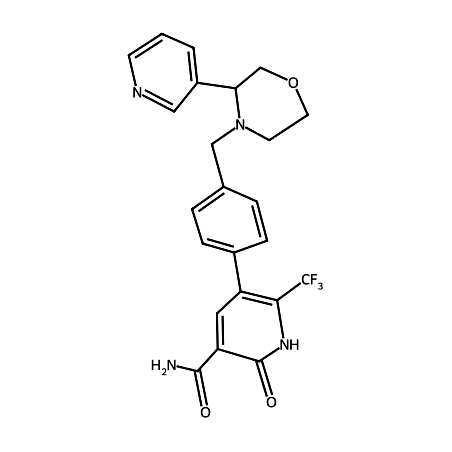 NC(=O)c1cc(-c2ccc(CN3CCOCC3c3cccnc3)cc2)c(C(F)(F)F)[nH]c1=O